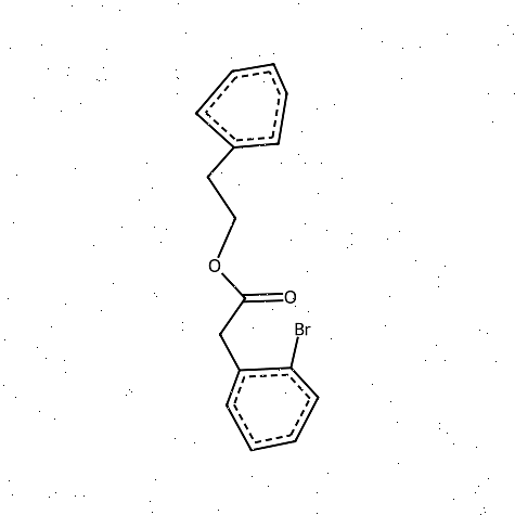 O=C(Cc1ccccc1Br)OCCc1ccccc1